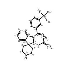 C=C(C)C[C@H]1N(C(=O)c2cccc(C(F)(F)F)c2)c2ccccc2C12CCNCC2